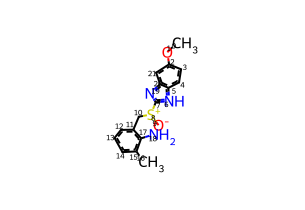 COc1ccc2[nH]c([S+]([O-])Cc3cccc(C)c3N)nc2c1